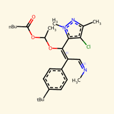 CCCCC(=O)OC(C)O/C(=C(/C=N\C)c1ccc(C(C)(C)C)cc1)c1c(Cl)c(C)nn1C